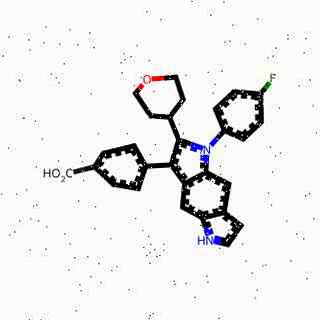 O=C(O)c1ccc(-c2c(C3CCOCC3)n(-c3ccc(F)cc3)c3cc4cc[nH]c4cc23)cc1